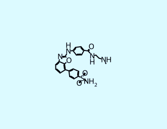 CNCCNC(=O)c1ccc(Nc2nc3cccc(-c4ccc(S(N)(=O)=O)cc4)c3o2)cc1